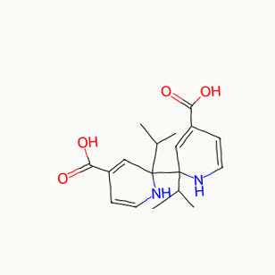 CC(C)C1(C2(C(C)C)C=C(C(=O)O)C=CN2)C=C(C(=O)O)C=CN1